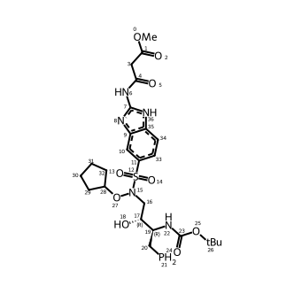 COC(=O)CC(=O)Nc1nc2cc(S(=O)(=O)N(C[C@@H](O)[C@H](CP)NC(=O)OC(C)(C)C)OC3CCCC3)ccc2[nH]1